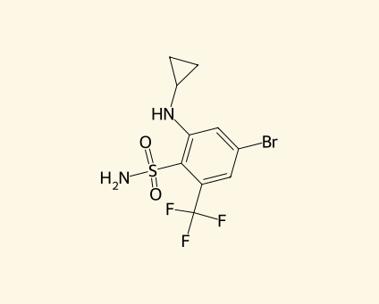 NS(=O)(=O)c1c(NC2CC2)cc(Br)cc1C(F)(F)F